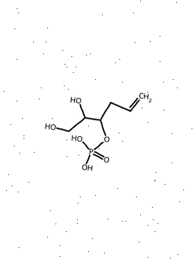 C=CCC(OP(=O)(O)O)C(O)CO